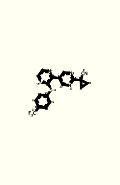 N#CC1(c2ncc(-c3nccnc3Sc3ccc(C(F)(F)F)cc3)cn2)CC1